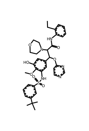 CCc1ccccc1NC(=O)C(C(Oc1ccncn1)c1cc(O)c(OC)c(NS(=O)(=O)c2cccc(C(C)(C)C)c2)c1)N1CCOCC1